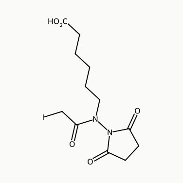 O=C(O)CCCCCN(C(=O)CI)N1C(=O)CCC1=O